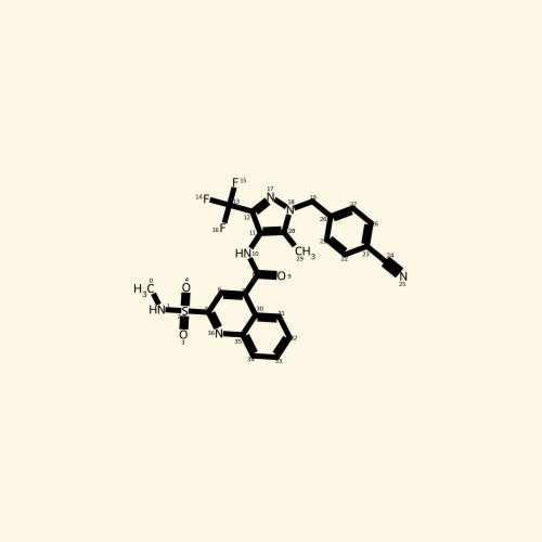 CNS(=O)(=O)c1cc(C(=O)Nc2c(C(F)(F)F)nn(Cc3ccc(C#N)cc3)c2C)c2ccccc2n1